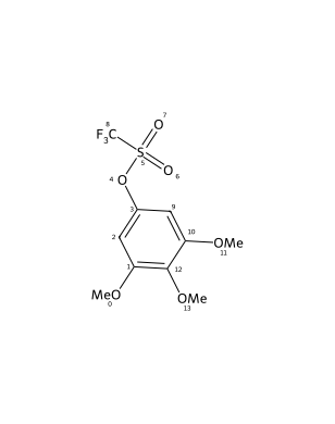 COc1cc(OS(=O)(=O)C(F)(F)F)cc(OC)c1OC